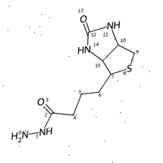 NNC(=O)CCCC1SCC2NC(=O)NC21